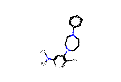 CC(=CC(=C(C#N)C#N)N1CCCN(c2ccccc2)CC1)N(C)C